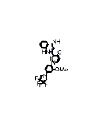 COc1cc(N2CC(F)(F)C(F)(F)C2)ccc1-n1ccc(=O)c(/C(=C/C=N)Nc2ccccc2)n1